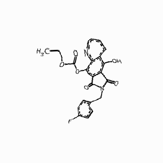 CCOC(=O)Oc1c2c(c(O)c3cccnc13)C(=O)N(Cc1ccc(F)cc1)C2=O